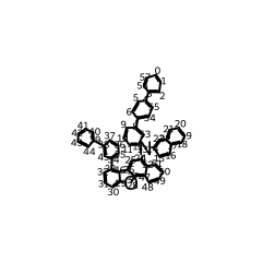 c1ccc(-c2ccc(-c3cccc(N(c4ccc5ccccc5c4)c4cc5c(oc6cccc(-c7cccc(-c8ccccc8)c7)c65)c5ccccc45)c3)cc2)cc1